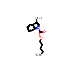 CCCCCCCCCCCCCCOOC(=O)n1cc(C=O)c2ccccc21